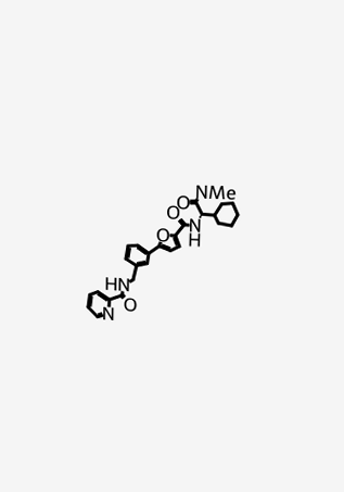 CNC(=O)[C@@H](NC(=O)c1ccc(-c2cccc(CNC(=O)c3ccccn3)c2)o1)C1CCCCC1